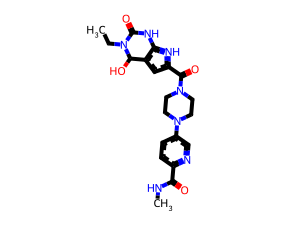 CCN1C(=O)Nc2[nH]c(C(=O)N3CCN(c4ccc(C(=O)NC)nc4)CC3)cc2C1O